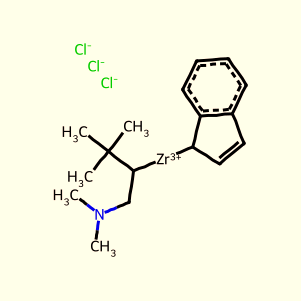 CN(C)C[CH]([Zr+3][CH]1C=Cc2ccccc21)C(C)(C)C.[Cl-].[Cl-].[Cl-]